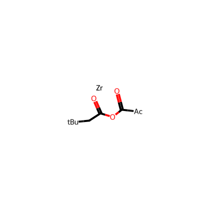 CC(=O)C(=O)OC(=O)CC(C)(C)C.[Zr]